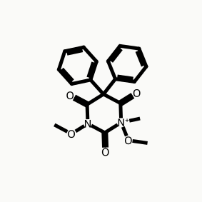 CON1C(=O)C(c2ccccc2)(c2ccccc2)C(=O)[N+](C)(OC)C1=O